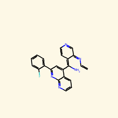 C=C/N=C1/C=NC=C/C1=C(/N)c1cc(-c2ccccc2F)nc2ncccc12